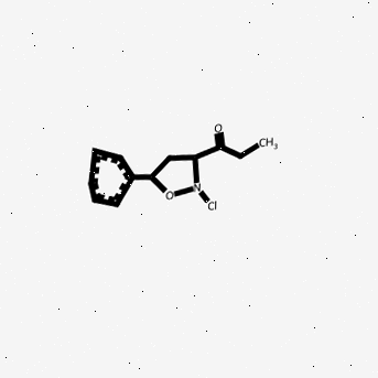 CCC(=O)C1CC(c2ccccc2)ON1Cl